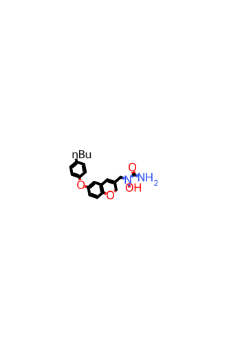 CCCCc1ccc(Oc2ccc3c(c2)C=C(CN(O)C(N)=O)CO3)cc1